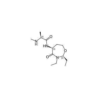 CC[C@@H]1OCC[C@H](NC(=O)[C@H](C)NC)C(=O)N1CC